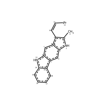 Cc1[nH]c2cc3c(cc2c1/C=C\C(C)C)[nH]c1ccccc13